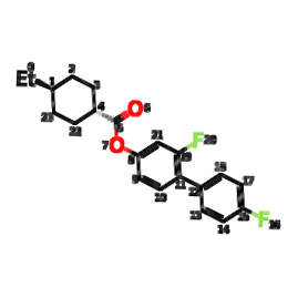 CC[C@H]1CC[C@H](C(=O)Oc2ccc(-c3ccc(F)cc3)c(F)c2)CC1